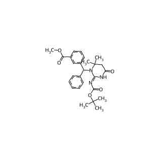 COC(=O)c1cccc(C(c2ccccc2)N2C(=NC(=O)OC(C)(C)C)NC(=O)CC2(C)C)c1